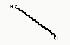 C#CCCCCCCCCCCCCCCCCCCCCCCCCC